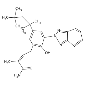 CC(=CCc1cc(C(C)(C)CC(C)(C)C)cc(-n2nc3ccccc3n2)c1O)C(N)=O